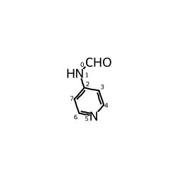 O=CNc1ccncc1